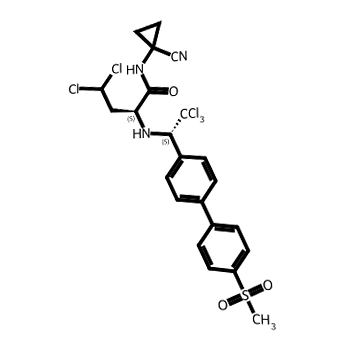 CS(=O)(=O)c1ccc(-c2ccc([C@H](N[C@@H](CC(Cl)Cl)C(=O)NC3(C#N)CC3)C(Cl)(Cl)Cl)cc2)cc1